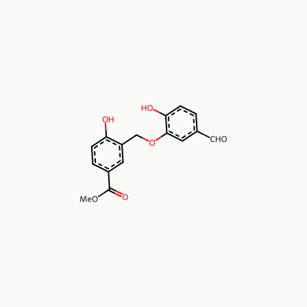 COC(=O)c1ccc(O)c(COc2cc(C=O)ccc2O)c1